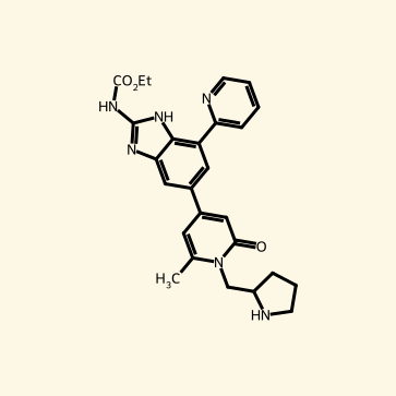 CCOC(=O)Nc1nc2cc(-c3cc(C)n(CC4CCCN4)c(=O)c3)cc(-c3ccccn3)c2[nH]1